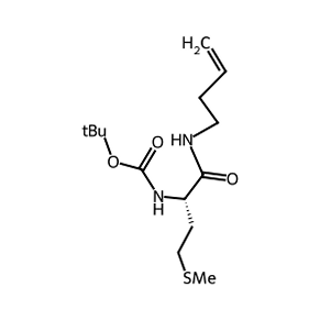 C=CCCNC(=O)[C@H](CCSC)NC(=O)OC(C)(C)C